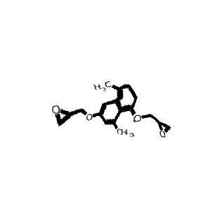 Cc1ccc(OCC2CO2)c2c(C)cc(OCC3CO3)cc12